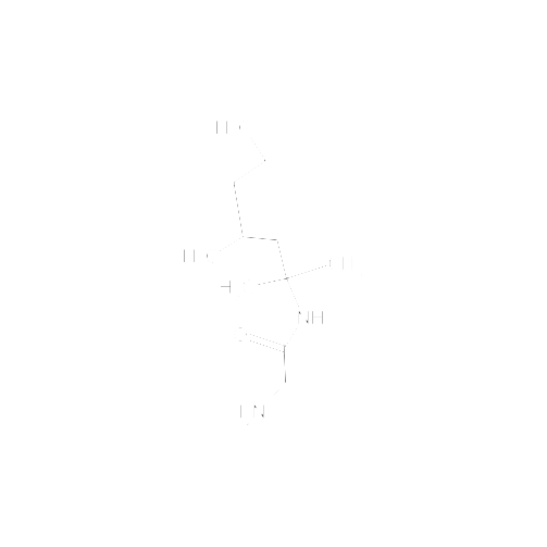 CCCC(C)CC(C)(C)NC(=O)CN